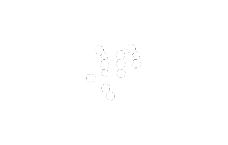 c1ccc(-c2c(-c3ccc4ccccc4c3)oc3c(-c4c5ccccc5c(-c5cccc6sc7ccccc7c56)c5ccccc45)c4oc5ccccc5c4cc23)cc1